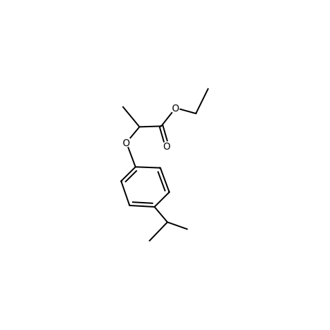 CCOC(=O)C(C)Oc1ccc(C(C)C)cc1